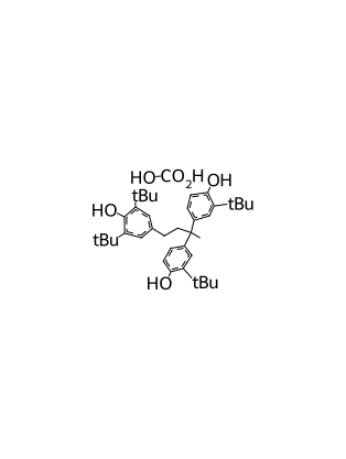 CC(C)(C)c1cc(C(C)(CCc2cc(C(C)(C)C)c(O)c(C(C)(C)C)c2)c2ccc(O)c(C(C)(C)C)c2)ccc1O.O=C(O)O